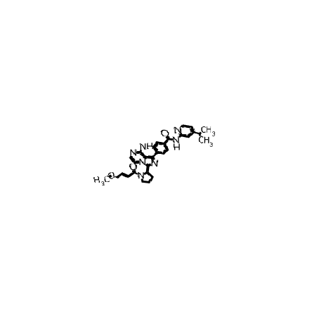 COCC=CC(=O)N1CCCC1c1nc(-c2ccc(C(=O)Nc3cc(C(C)C)ccn3)cc2)c2c(N)nccn12